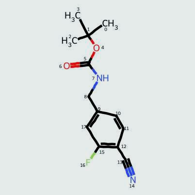 CC(C)(C)OC(=O)NCc1ccc(C#N)c(F)c1